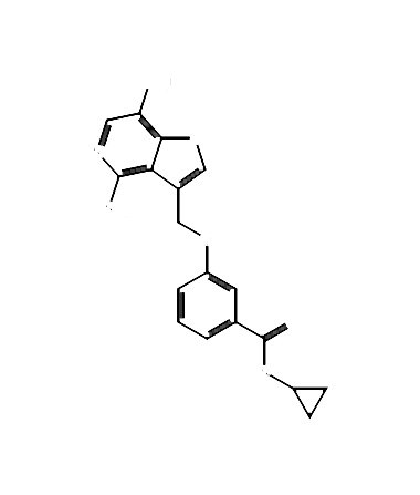 Nc1ncc(C(=O)O)c2scc(COc3cccc(C(=O)NC4CC4)c3)c12